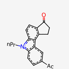 CCCn1c2ccc(C(C)=O)cc2c2c3c(ccc21)C(=O)CC3